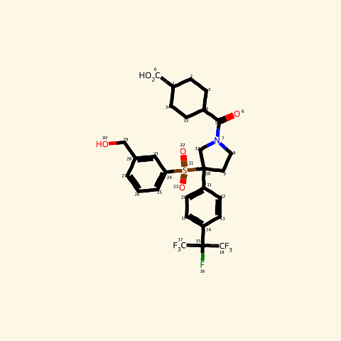 O=C(O)C1CCC(C(=O)N2CCC(c3ccc(C(F)(C(F)(F)F)C(F)(F)F)cc3)(S(=O)(=O)c3cccc(CO)c3)C2)CC1